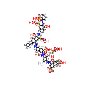 Cc1cc(N=Nc2c(S(=O)(=O)O)cc3cc(N=Nc4c(Nc5ccccc5)ccc5c(O)c(N=Nc6ccc7c(O)c(N=Nc8ccccc8S(=O)(=O)O)c(SOOO)cc7c6)c(SOOO)cc45)ccc3c2O)c(OCCCSOOO)cc1N=Nc1cc(S(=O)(=O)O)cc2cc(S(=O)(=O)O)cc(O)c12